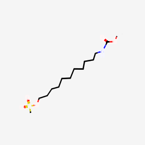 CC(C)(C)OC(=O)NCCCCCCCCCCCOS(C)(=O)=O